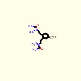 NC(=O)N(N)CCc1ccc(C(=O)O)cc1CCN(N)C(N)=O